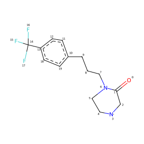 O=C1C[N]CCN1CCCc1ccc(C(F)(F)F)cc1